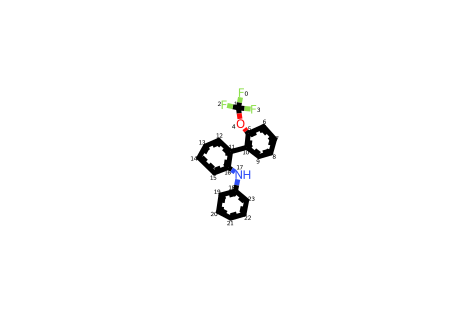 FC(F)(F)Oc1ccccc1-c1ccccc1Nc1ccccc1